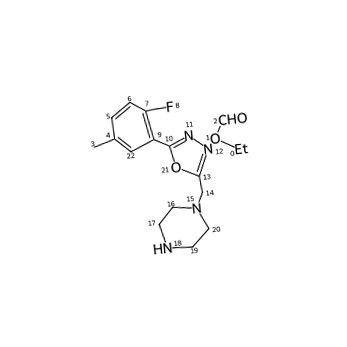 CCOC=O.Cc1ccc(F)c(-c2nnc(CN3CCNCC3)o2)c1